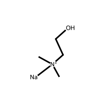 C[N+](C)([Na])CCO